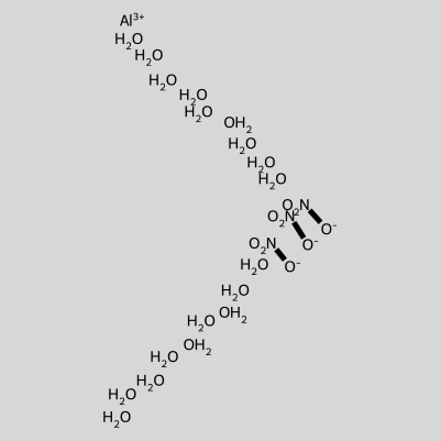 O.O.O.O.O.O.O.O.O.O.O.O.O.O.O.O.O.O.O=[N+]([O-])[O-].O=[N+]([O-])[O-].O=[N+]([O-])[O-].[Al+3]